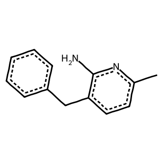 Cc1ccc(Cc2ccccc2)c(N)n1